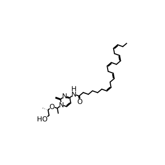 C=C1N=C(NC(=O)CCCCC/C=C\C/C=C\C/C=C\C/C=C\C/C=C\CC)C=CN1C(C)O[C@@H](C)CO